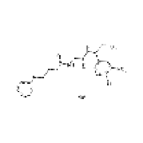 O=C([O-])CC(NC(=O)CNC(=O)CCCNc1ccccn1)c1ccc(Cl)c([N+](=O)[O-])c1.[Na+]